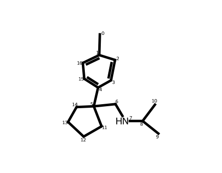 Cc1ccc(C2(CNC(C)C)CCCC2)cc1